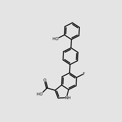 O=C(O)c1c[nH]c2cc(F)c(-c3ccc(-c4ccccc4O)cc3)cc12